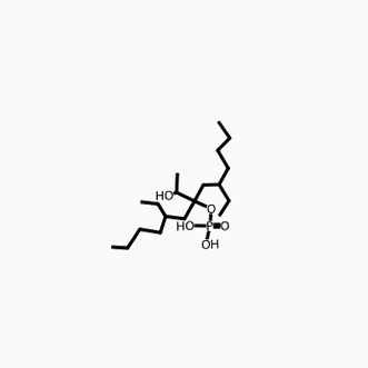 CCCCC(CC)CC(CC(CC)CCCC)(OP(=O)(O)O)C(C)O